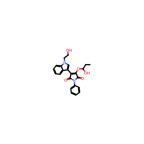 CCC(O)OC1=C(c2cn(CCO)c3ccccc23)C(=O)N(c2ccccc2)C1=O